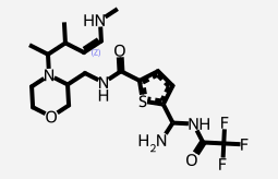 CN/C=C\C(C)C(C)N1CCOCC1CNC(=O)c1ccc(C(N)NC(=O)C(F)(F)F)s1